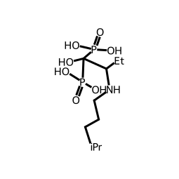 CCC(NCCCC(C)C)C(O)(P(=O)(O)O)P(=O)(O)O